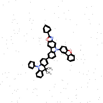 CC1(C)c2ccccc2N(c2ccccc2)c2ccc(-c3ccc4c(c3)c3cc5oc(-c6ccccc6)nc5cc3n4-c3ccc4oc5ccccc5c4c3)cc21